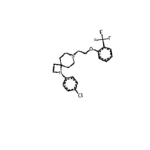 FC(F)(F)c1ccccc1OCCN1CCC2(CC1)CCN2c1ccc(Cl)cc1